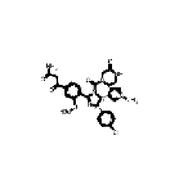 Cn1ccc([C@@H]2[C@H](c3ccc(Cl)cc3)N=C(c3ccc(C(=O)CC(N)=O)cc3OC(C)(C)C)N2C(=O)N2CCNC(=O)C2)c1